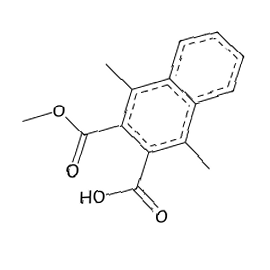 COC(=O)c1c(C(=O)O)c(C)c2ccccc2c1C